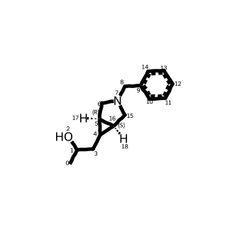 CC(O)CC1[C@H]2CN(Cc3ccccc3)C[C@@H]12